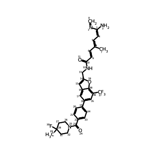 C=N\C(N)=C/C=C(C)/C=C/C(=O)NCc1cc2cc(-c3ccc(C(=O)N4CCC(C)(F)CC4)cc3)cc(C(F)(F)F)c2o1